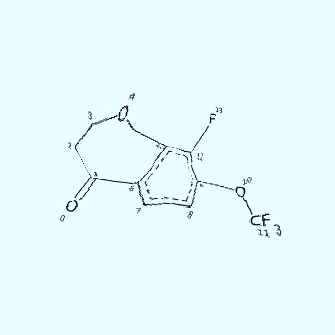 O=C1CCOc2c1ccc(OC(F)(F)F)c2F